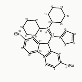 CC(C)(C)c1ccc2c(c1)[CH]([Zr]([C]1=CC=CC1)=[Si](C1CCCCC1)C1CCCCC1)c1cc(C(C)(C)C)ccc1-2